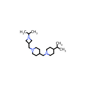 CC(C)C1CCN(CC2CCN(CC3CN(C(C)C)C3)CC2)CC1